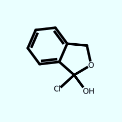 OC1(Cl)OCc2ccccc21